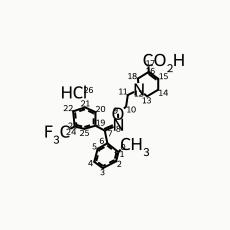 Cc1ccccc1C(=NOCCN1CCC=C(C(=O)O)C1)c1cccc(C(F)(F)F)c1.Cl